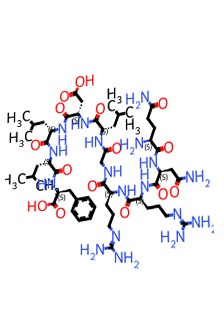 CC(C)C[C@H](NC(=O)CNC(=O)[C@H](CCCN=C(N)N)NC(=O)[C@H](CCCN=C(N)N)NC(=O)[C@H](CC(N)=O)NC(=O)[C@@H](N)CCC(N)=O)C(=O)N[C@@H](CC(=O)O)C(=O)N[C@@H](CC(C)C)C(=O)N[C@@H](CC(C)C)C(=O)N[C@@H](Cc1ccccc1)C(=O)O